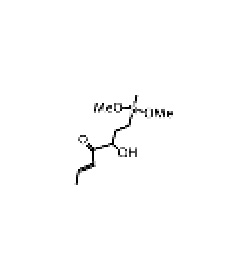 CC=CC(=O)C(O)CC[Si](C)(OC)OC